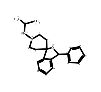 CC(C)NN1CCC2(CC1)OC(c1ccccc1)c1ccccc12